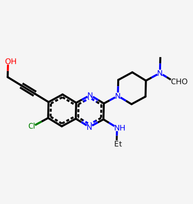 CCNc1nc2cc(Cl)c(C#CCO)cc2nc1N1CCC(N(C)C=O)CC1